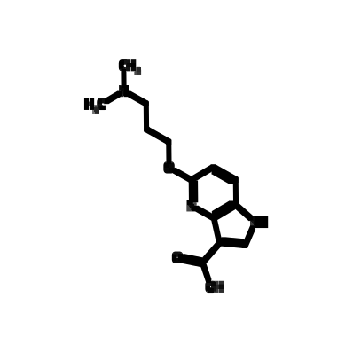 CN(C)CCCOc1ccc2[nH]cc(C(=O)O)c2n1